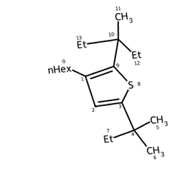 CCCCCCc1cc(C(C)(C)CC)sc1C(C)(CC)CC